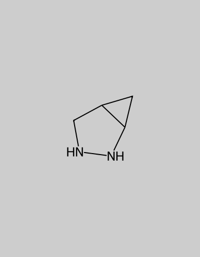 C1NNC2CC12